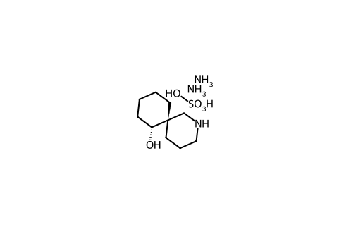 N.N.O=S(=O)(O)O.O[C@@H]1CCCC[C@@]12CCCNC2